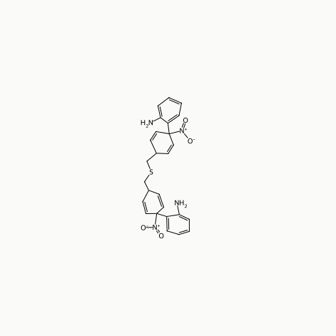 Nc1ccccc1C1([N+](=O)[O-])C=CC(CSCC2C=CC(c3ccccc3N)([N+](=O)[O-])C=C2)C=C1